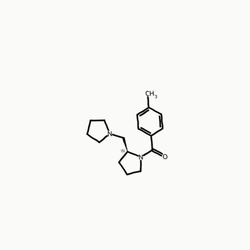 Cc1ccc(C(=O)N2CCC[C@H]2CN2CCCC2)cc1